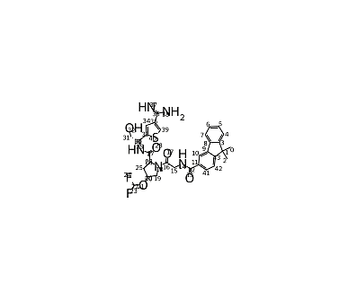 CC1(C)c2ccccc2-c2cc(C(=O)NCC(=O)N3C[C@H](OC(F)F)C[C@H]3C(=O)N[C@H](CO)c3cc(C(=N)N)cs3)ccc21